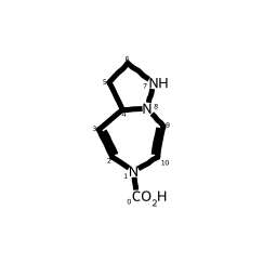 O=C(O)N1C=CC2CCNN2C=C1